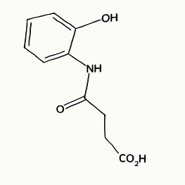 O=C(O)CCC(=O)Nc1ccccc1O